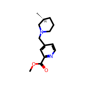 COC(=O)c1cc(CN2CCC[C@@H](C)C2)ccn1